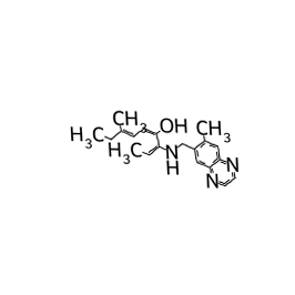 C\C=C(NCc1cc2nccnc2cc1C)/C(O)=C\C=C(/C)CC